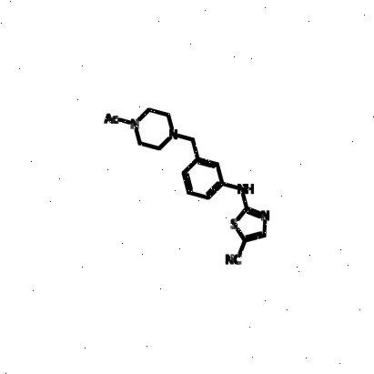 CC(=O)N1CCN(Cc2cccc(Nc3ncc(C#N)s3)c2)CC1